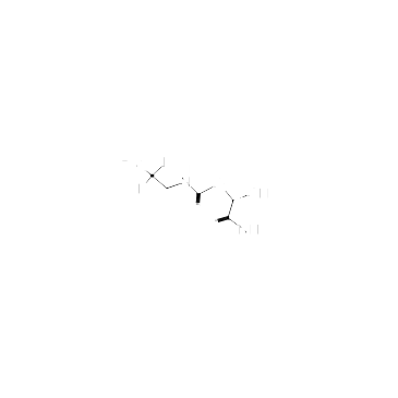 C[C@H](OC(=O)NCC(F)(F)C(F)(F)F)C(N)=O